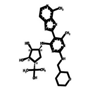 Cc1nc(NCC2CCCOC2)nc(N[C@@H]2C[C@H](C(C)(C)O)[C@@H](O)[C@H]2O)c1-c1nc2c(C)nccc2s1